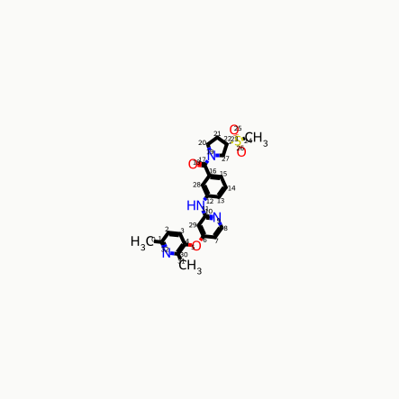 Cc1ccc(Oc2ccnc(Nc3cccc(C(=O)N4CC[C@H](S(C)(=O)=O)C4)c3)c2)c(C)n1